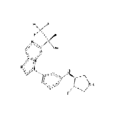 C[C@@](O)(c1cn2c(-c3cccc(N[C@H]4CNC[C@@H]4F)n3)cnc2cn1)C(F)(F)F